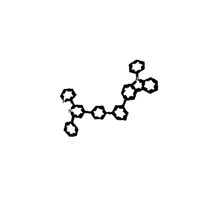 c1ccc(-c2cc(-c3ccc(-c4cccc(-c5ccc6c(c5)c5ccccc5n6-c5ccccc5)c4)cc3)cc(-c3ccccn3)n2)cc1